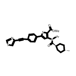 COC(=O)c1sc(-c2ccc(C#Cc3cscn3)cc2)cc1N(C(=O)[C@H]1CC[C@H](C)CC1)C(C)C